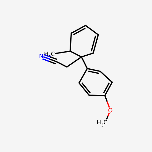 COc1ccc(C2(CC#N)C=CC=CC2C)cc1